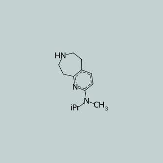 CC(C)N(C)c1ccc2c(n1)CCNCC2